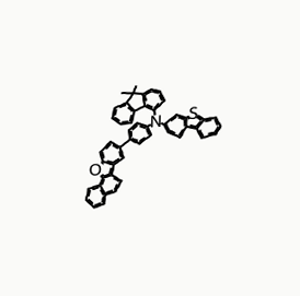 CC1(C)c2ccccc2-c2c(N(c3ccc(-c4ccc5oc6c7ccccc7ccc6c5c4)cc3)c3ccc4c(c3)sc3ccccc34)cccc21